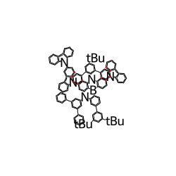 CC(C)(C)c1cc(-c2ccc3c(c2)N(c2cc(-c4ccccc4)cc(-c4ccccc4)c2)c2cc(-n4c5ccccc5c5cc(-n6c7ccccc7c7ccccc76)ccc54)cc4c2B3c2ccc(-n3c5ccccc5c5ccccc53)cc2N4c2c(-c3ccccc3)cc(C(C)(C)C)cc2-c2ccccc2)cc(C(C)(C)C)c1